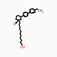 CCc1ccc(-c2ccc(C3CCCC(C#N)(CCCCCCCCCCCO)C3)cc2)cc1